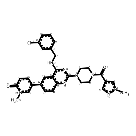 Cn1cc(C(=O)N2CCN(c3nc(NCc4cccc(Cl)c4)c4cc(-c5ccc(=O)n(C)c5)ccc4n3)CC2)cn1